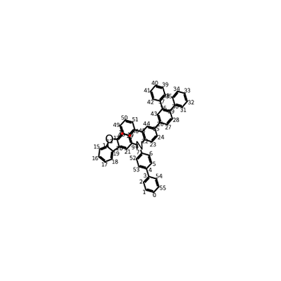 c1ccc(-c2ccc(N(c3ccc4oc5ccccc5c4c3)c3ccc(-c4ccc(-c5ccccc5)c(-c5ccccc5)c4)cc3-c3ccccc3)cc2)cc1